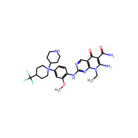 CCn1c(N)c(C(N)=O)c(=O)c2cnc(Nc3ccc([N+]4(C5CCNCC5)CCC(C(F)(F)F)CC4)cc3OC)nc21